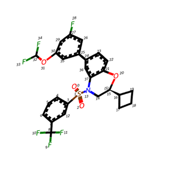 O=S(=O)(c1cccc(C(F)(F)F)c1)N1C[C@H](C2CCC2)Oc2ccc(-c3cc(F)cc(OC(F)F)c3)cc21